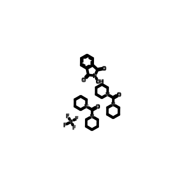 F[B-](F)(F)F.O=C(N1CCCCC1)N1CCCCC1.O=C(N1CCCCC1)N1CCCCC1.O=C1c2ccccc2C(=O)N1O